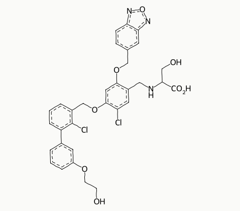 O=C(O)C(CO)NCc1cc(Cl)c(OCc2cccc(-c3cccc(OCCO)c3)c2Cl)cc1OCc1ccc2nonc2c1